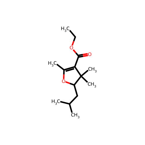 CCOC(=O)C1=C(C)OC(CC(C)C)C1(C)C